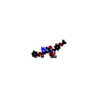 CC(C)(C)OC(=O)N(CCc1ccc(OCC2CC2)cc1)[C@H](CCCNC(=O)OCc1ccccc1)C(N)=O